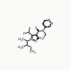 CCN(C(=S)c1cnn(C(C)C(C)SC)c1C(F)F)c1ccnnc1